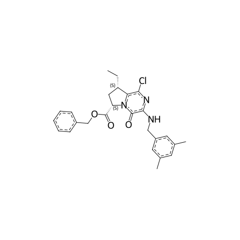 CC[C@H]1C[C@@H](C(=O)OCc2ccccc2)n2c1c(Cl)nc(NCc1cc(C)cc(C)c1)c2=O